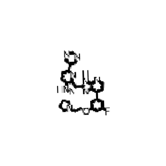 Fc1cc(OCCN2CCCC2)cc(-c2ccnc3[nH]c(-c4n[nH]c5ccc(-c6cncnc6)nc45)nc23)c1